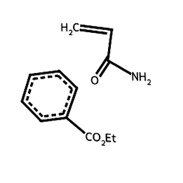 C=CC(N)=O.CCOC(=O)c1ccccc1